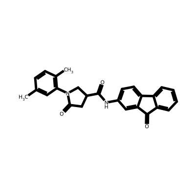 Cc1ccc(C)c(N2CC(C(=O)Nc3ccc4c(c3)C(=O)c3ccccc3-4)CC2=O)c1